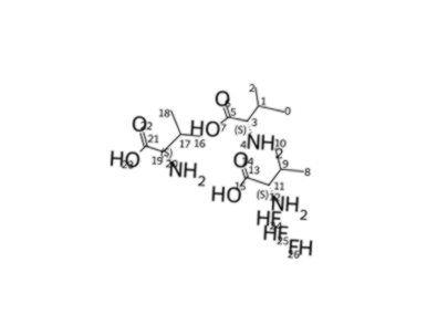 CC(C)[C@H](N)C(=O)O.CC(C)[C@H](N)C(=O)O.CC(C)[C@H](N)C(=O)O.F.F.F